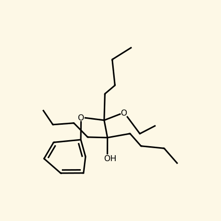 CCCCC(O)(CCCC)C(CCCC)(OCC)Oc1ccccc1